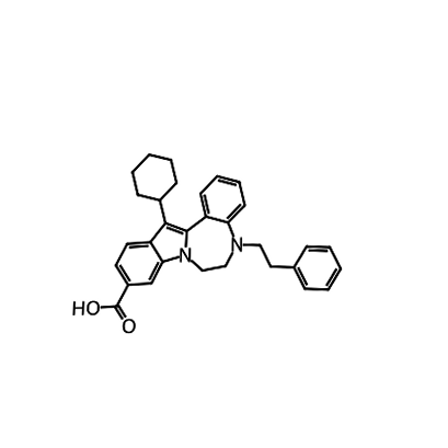 O=C(O)c1ccc2c(C3CCCCC3)c3n(c2c1)CCN(CCc1ccccc1)c1ccccc1-3